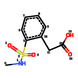 CNS(=O)(=O)c1ccccc1CC(=O)O